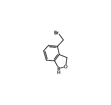 BrCc1cccc2c1COB2